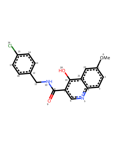 COc1ccc2ncc(C(=O)NCc3ccc(Cl)cc3)c(O)c2c1